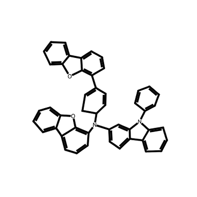 C1=CC(N(c2ccc3c4ccccc4n(-c4ccccc4)c3c2)c2cccc3c2oc2ccccc23)CC=C1c1cccc2c1oc1ccccc12